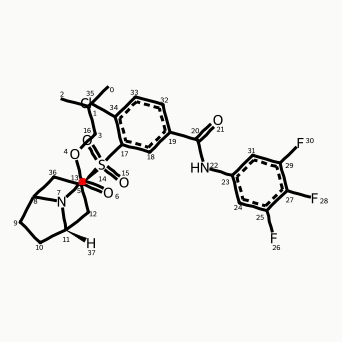 CC(C)COC(=O)N1C2CC[C@H]1C[C@H](S(=O)(=O)c1cc(C(=O)Nc3cc(F)c(F)c(F)c3)ccc1Cl)C2